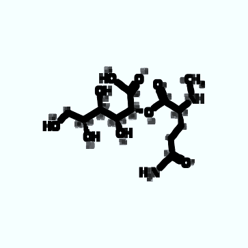 CN[C@@H](CCC(N)=O)C(=O)O[C@@H](C(=O)O)[C@@H](O)[C@H](O)[C@H](O)CO